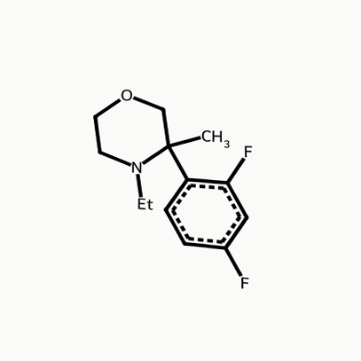 CCN1CCOCC1(C)c1ccc(F)cc1F